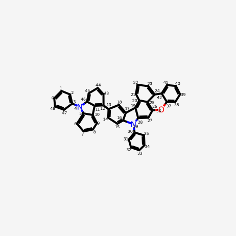 c1ccc(-n2c3ccccc3c3c(-c4ccc5c(c4)c4c6cccc7c6c(cc4n5-c4ccccc4)Oc4ccccc4-7)cccc32)cc1